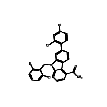 NC(=O)c1cccc2c1c1[c]cc(-c3ccc(Cl)cc3Cl)cc1n2Cc1c(F)cccc1Cl